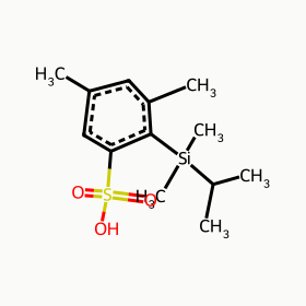 Cc1cc(C)c([Si](C)(C)C(C)C)c(S(=O)(=O)O)c1